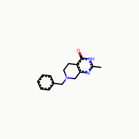 Cc1nc2c(c(=O)[nH]1)CCN(Cc1ccccc1)C2